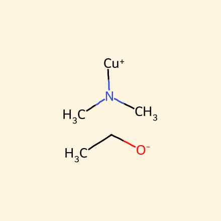 CC[O-].C[N](C)[Cu+]